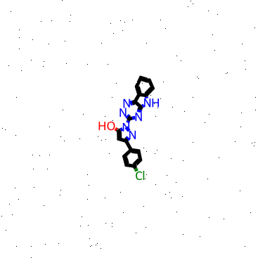 Oc1cc(-c2ccc(Cl)cc2)nn1-c1nnc2c(n1)[nH]c1ccccc12